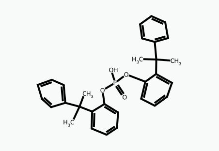 CC(C)(c1ccccc1)c1ccccc1OP(=O)(O)Oc1ccccc1C(C)(C)c1ccccc1